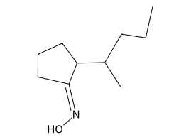 CCCC(C)C1CCCC1=NO